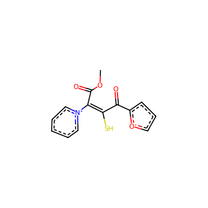 COC(=O)/C(=C(/S)C(=O)c1ccco1)[n+]1ccccc1